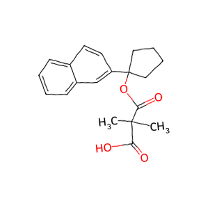 CC(C)(C(=O)O)C(=O)OC1(c2ccc3ccccc3c2)CCCC1